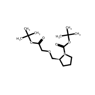 CC(C)(C)OC(=O)COC[C@@H]1CCCN1C(=O)OC(C)(C)C